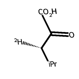 [2H][C@H](C(=O)C(=O)O)C(C)C